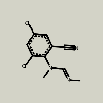 CN=CN(C)c1c(Cl)cc(Cl)cc1C#N